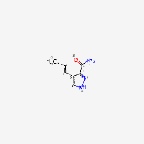 CC=Cc1c[nH]nc1C(N)=O